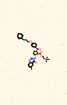 Cc1ccc2nnn(C[C@@H]3CC[C@H](C(=O)c4ccc(OCCCc5ccccc5)cc4)[C@H]3C(=O)OCC[Si](C)(C)C)c(=O)c2c1